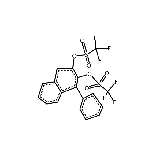 O=S(=O)(Oc1cc2ccccc2c(-c2ccccc2)c1OS(=O)(=O)C(F)(F)F)C(F)(F)F